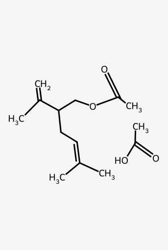 C=C(C)C(CC=C(C)C)COC(C)=O.CC(=O)O